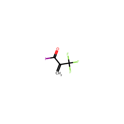 C=C(C(=O)I)C(F)(F)F